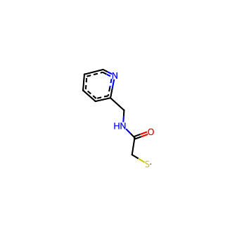 O=C(C[S])NCc1ccccn1